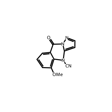 COc1cccc2c(=O)n3nccc3n(C#N)c12